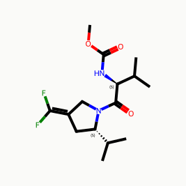 COC(=O)N[C@H](C(=O)N1CC(=C(F)F)C[C@H]1C(C)C)C(C)C